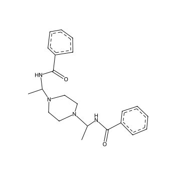 CC(NC(=O)c1ccccc1)N1CCN(C(C)NC(=O)c2ccccc2)CC1